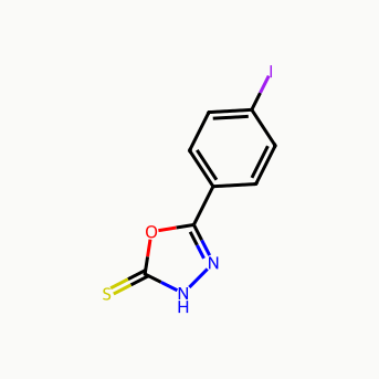 S=c1[nH]nc(-c2ccc(I)cc2)o1